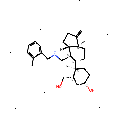 C=C1CC[C@H]2[C@H](CNCc3ccccc3C)[C@@H]([C@@]3(C)CC[C@H](O)C[C@@H]3CO)CC[C@]12C